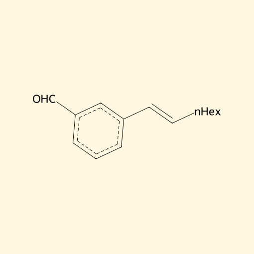 CCCCCC/C=C/c1cccc(C=O)c1